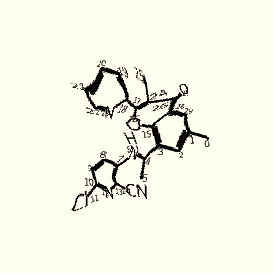 Cc1cc(C(C)Nc2ccc(Cl)nc2C#N)c2oc(-c3ccccn3)c(C)c(=O)c2c1